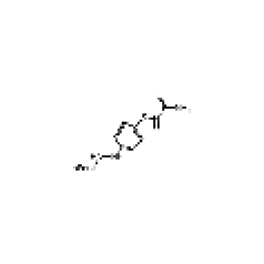 CCCCCNNc1ccc(SNC(N)=O)cc1